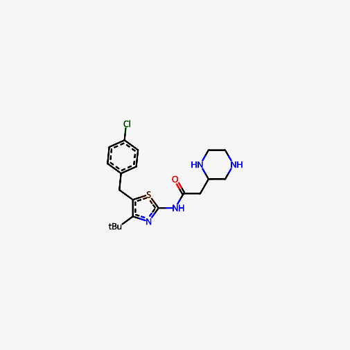 CC(C)(C)c1nc(NC(=O)CC2CNCCN2)sc1Cc1ccc(Cl)cc1